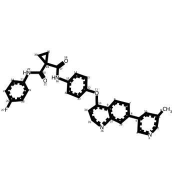 Cc1cncc(-c2ccc3c(Oc4ccc(NC(=O)C5(C(=O)Nc6ccc(F)cc6)CC5)cc4)ccnc3c2)c1